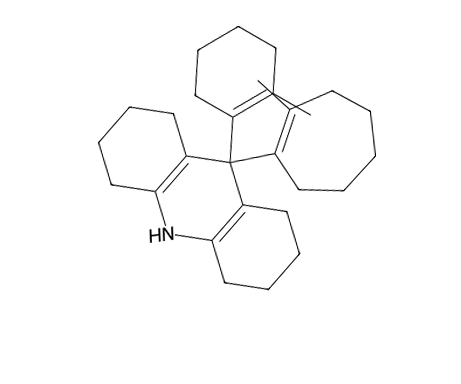 CC1=C(C2(C3=C(C)CCCC3)C3=C(CCCC3)NC3=C2CCCC3)CCCCC1